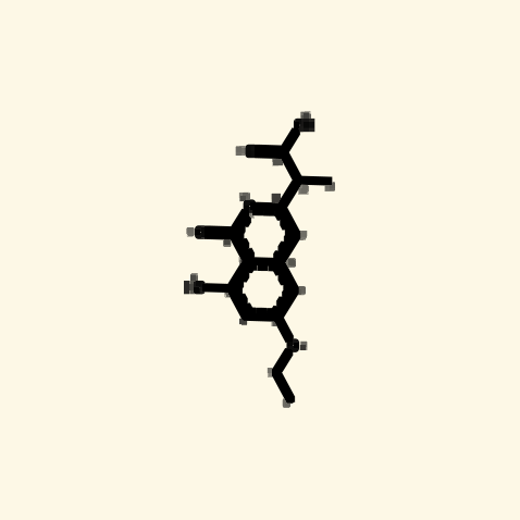 CCOc1cc(O)c2c(=O)oc(C(C)C(=O)O)cc2c1